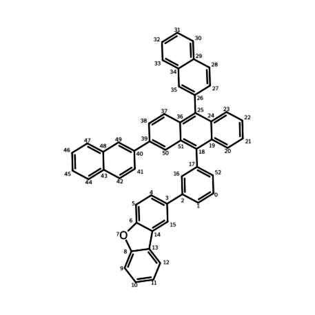 c1cc(-c2ccc3oc4ccccc4c3c2)cc(-c2c3ccccc3c(-c3ccc4ccccc4c3)c3ccc(-c4ccc5ccccc5c4)cc23)c1